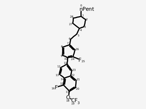 CCCCCC1CCC(CCc2ccc(-c3ccc4c(F)c(OC(F)(F)F)ccc4c3)c(F)c2)CC1